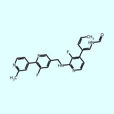 C/C=C\C(=C/NC=O)c1ccnc(NCc2cnc(-c3ccnc(C)c3)c(F)c2)c1F